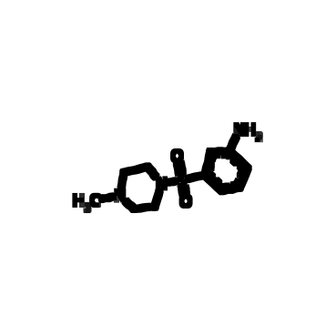 CN1CCN(S(=O)(=O)c2cccc(N)c2)CC1